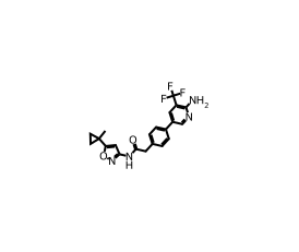 CC1(c2cc(NC(=O)Cc3ccc(-c4cnc(N)c(C(F)(F)F)c4)cc3)no2)CC1